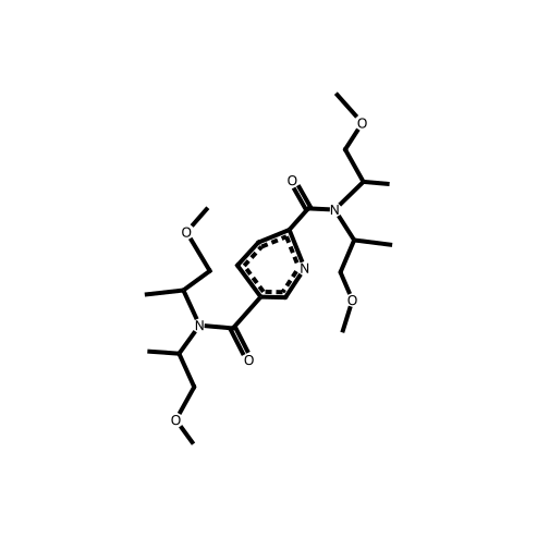 COCC(C)N(C(=O)c1ccc(C(=O)N(C(C)COC)C(C)COC)nc1)C(C)COC